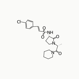 C[C@H](C(=O)N1CCCCC1)N1CC[C@H](NS(=O)(=O)/C=C/c2ccc(Cl)cc2)C1=O